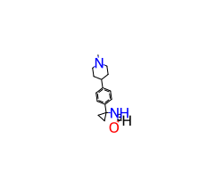 [3H]C(=O)NC1(c2ccc(C3CCN(C)CC3)cc2)CC1